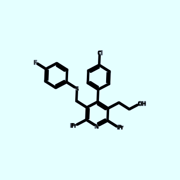 CC(C)c1nc(C(C)C)c(CSc2ccc(F)cc2)c(-c2ccc(Cl)cc2)c1CCO